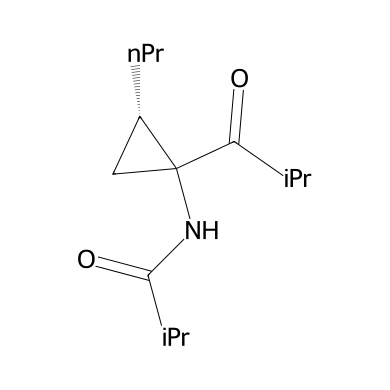 CCC[C@H]1CC1(NC(=O)C(C)C)C(=O)C(C)C